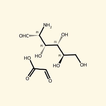 N[C@@H](C=O)[C@@H](O)[C@H](O)[C@H](O)CO.O=CC(=O)O